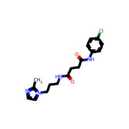 Cc1nccn1CCCNC(=O)CCC(=O)Nc1ccc(Cl)cc1